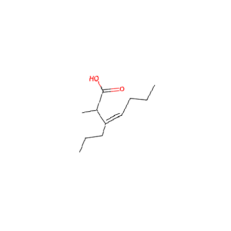 CCCC=C(CCC)C(C)C(=O)O